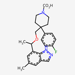 Cc1cc(C(C)OCC2(c3ccc(F)cc3)CCN(C(=O)O)CC2)c2[nH]ncc2c1